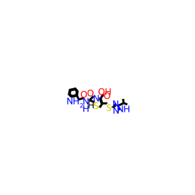 CC(C)c1nc(SCC2=C(C(=O)O)N3C(=O)C(NC(=O)Cc4ccccc4N)[C@@H]3SC2)n[nH]1